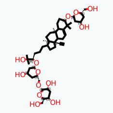 C#C[C@@]12CCC(CCC[C@@H](O[C@H]3C[C@@H](O)C[C@@H](CO[C@H]4O[C@H](CO)[C@@H](O)C[C@H]4O)O3)C(C)(C)O)[C@@]1(C)CC[C@@]1(C)C3CC[C@H](O[C@H]4C[C@@H](O)C[C@@H](CO)O4)C(C)(C)C3=CCC12